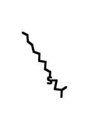 CCCCCCCCCCSCCC(C)C